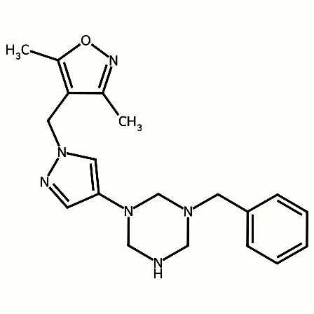 Cc1noc(C)c1Cn1cc(N2CNCN(Cc3ccccc3)C2)cn1